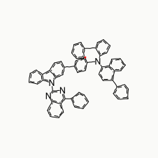 c1ccc(-c2ccccc2N(c2ccc(-c3ccc4c5ccccc5n(-c5nc(-c6ccccc6)c6ccccc6n5)c4c3)cc2)c2ccc(-c3ccccc3)c3ccccc23)cc1